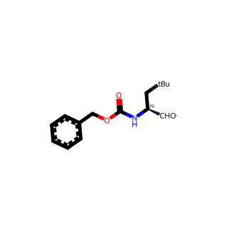 CC(C)(C)C[C@@H]([C]=O)NC(=O)OCc1ccccc1